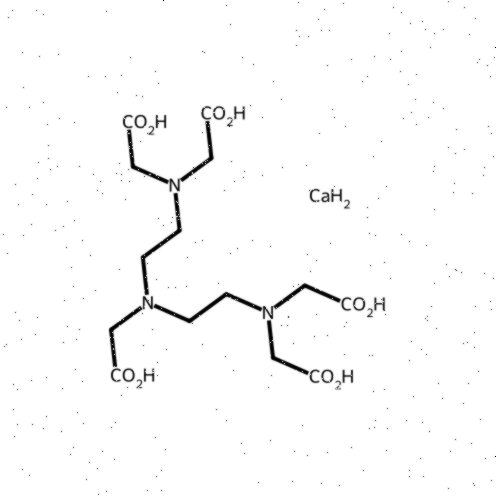 O=C(O)CN(CCN(CC(=O)O)CC(=O)O)CCN(CC(=O)O)CC(=O)O.[CaH2]